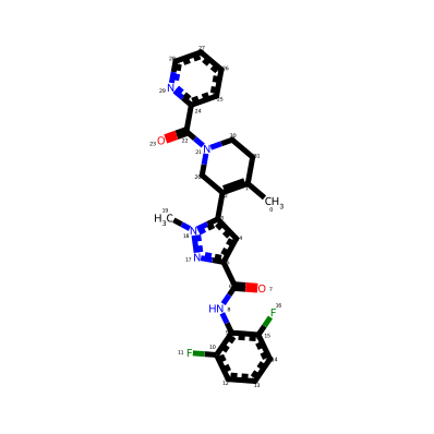 CC1=C(c2cc(C(=O)Nc3c(F)cccc3F)nn2C)CN(C(=O)c2ccccn2)CC1